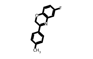 Cc1ccc(C2=Nc3cc(F)ccc3OC2)cc1